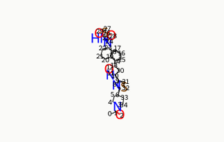 CC(=O)N1CCC(c2nc(C3=NOC(c4cccc5c4CCCC5=NNS(C)(=O)=O)C3)cs2)CC1